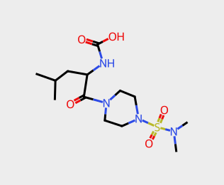 CC(C)CC(NC(=O)O)C(=O)N1CCN(S(=O)(=O)N(C)C)CC1